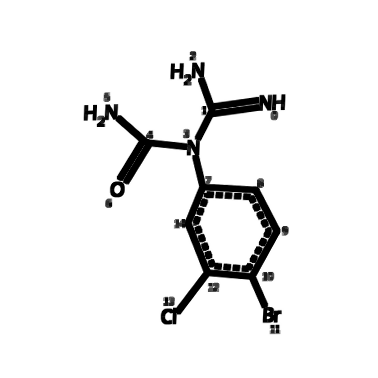 N=C(N)N(C(N)=O)c1ccc(Br)c(Cl)c1